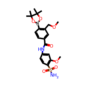 COCc1cc(C(=O)Nc2ccc(S(N)(=O)=O)c(OC)c2)ccc1B1OC(C)(C)C(C)(C)O1